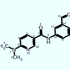 CN(C)c1ccc(C(=O)Nc2cccc(C=O)c2)cn1